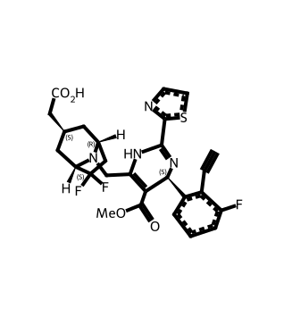 C#Cc1c(F)cccc1[C@@H]1N=C(c2nccs2)NC(CN2[C@@H]3C[C@H](CC(=O)O)C[C@H]2C(F)(F)C3)=C1C(=O)OC